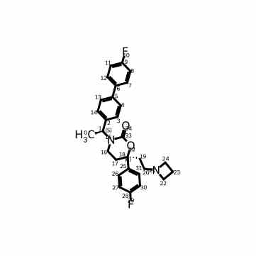 C[C@@H](c1ccc(-c2ccc(F)cc2)cc1)N1CC[C@](CCN2CCC2)(c2ccc(F)cc2)OC1=O